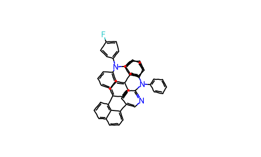 Fc1ccc(N(c2ccccc2)c2ccccc2-c2ccc(-c3cccc4cccc(-c5ccc(N(c6ccccc6)c6ccccc6)nc5)c34)cc2)cc1